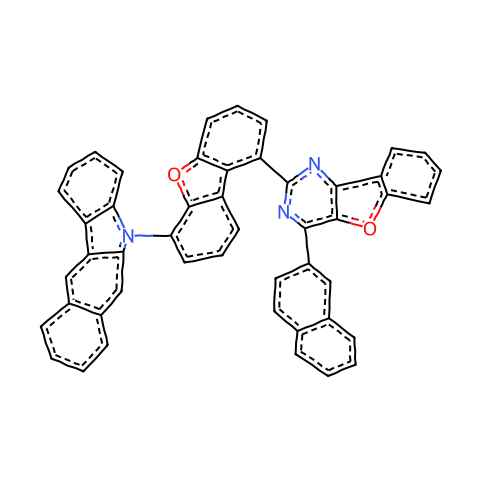 c1ccc2cc(-c3nc(-c4cccc5oc6c(-n7c8ccccc8c8cc9ccccc9cc87)cccc6c45)nc4c3oc3ccccc34)ccc2c1